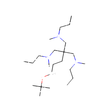 CCCN(C)CC(CC[SiH2]OC(C)(C)C)(CN(C)CCC)CN(C)CCC